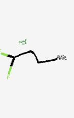 CNCCC(F)F.Cl